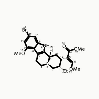 CC[C@@H]1CN2CCc3c([nH]c4cc(Br)cc(OC)c34)[C@@H]2C[C@@H]1/C(=C\OC)C(=O)OC